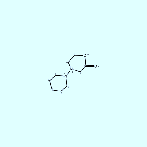 O=C1CN(N2CCOCC2)CCO1